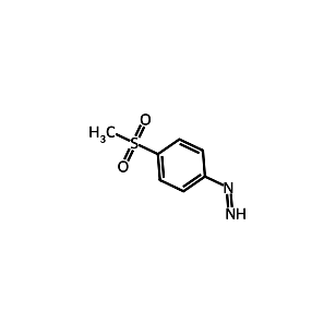 CS(=O)(=O)c1ccc(N=N)cc1